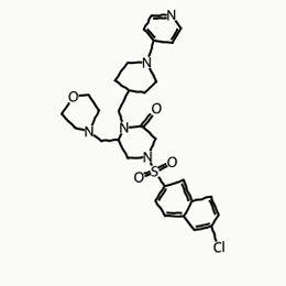 O=C1CN(S(=O)(=O)c2ccc3cc(Cl)ccc3c2)CC(CN2CCOCC2)N1CC1CCN(c2ccncc2)CC1